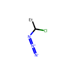 CCC(Cl)N=[N+]=[N-]